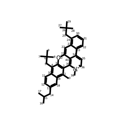 Cc1c2c(c(CC(C)(C)C)c3ccc(CC(C)C)cc13)Oc1cc3c(CC(C)(C)C)cccc3c3cc[n+](C)c-2c13